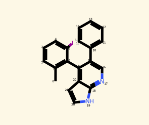 Cc1cccc(I)c1-c1c(-c2c[c]ccc2)cnc2[nH]ccc12